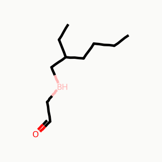 CCCCC(CC)CBCC=O